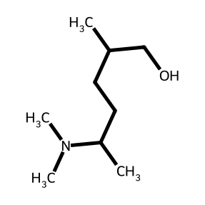 CC(CO)CCC(C)N(C)C